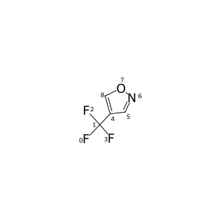 FC(F)(F)c1cnoc1